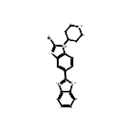 CCc1nc2cc(-c3nc4ccccc4o3)ccc2n1C1CCOCC1